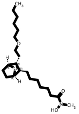 CCCCCCOCC[C@@H]1[C@@H](CCCCCCC(=O)N(C)O)[C@H]2CC[C@@H]1O2